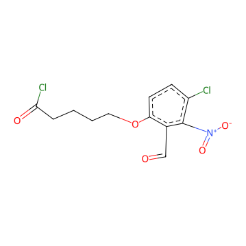 O=Cc1c(OCCCCC(=O)Cl)ccc(Cl)c1[N+](=O)[O-]